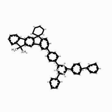 CC1(C)c2ccccc2-c2cc3c(cc21)-c1cc(-c2ccc(-c4nc(-c5ccccc5)nc(-c5ccc(-c6ccccc6)cc5)n4)cc2)ccc1C31CCCCC1